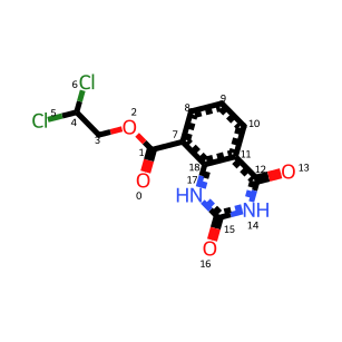 O=C(OCC(Cl)Cl)c1cccc2c(=O)[nH]c(=O)[nH]c12